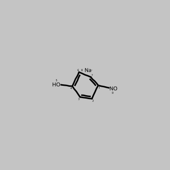 O=Nc1ccc(O)cc1.[Na]